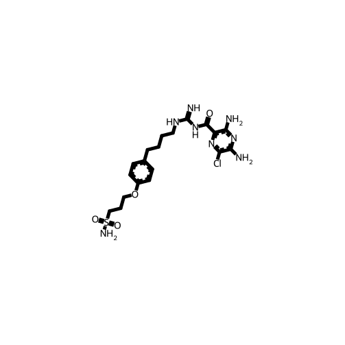 N=C(NCCCCc1ccc(OCCCS(N)(=O)=O)cc1)NC(=O)c1nc(Cl)c(N)nc1N